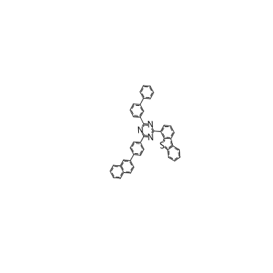 c1ccc(-c2cccc(-c3nc(-c4ccc(-c5ccc6ccccc6c5)cc4)nc(-c4cccc5c4sc4ccccc45)n3)c2)cc1